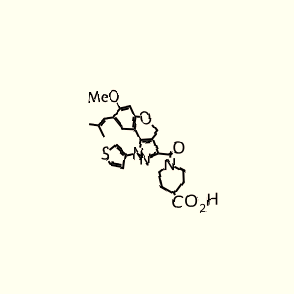 COc1cc2c(cc1C=C(C)C)-c1c(c(C(=O)N3CCC(C(=O)O)CC3)nn1-c1ccsc1)CO2